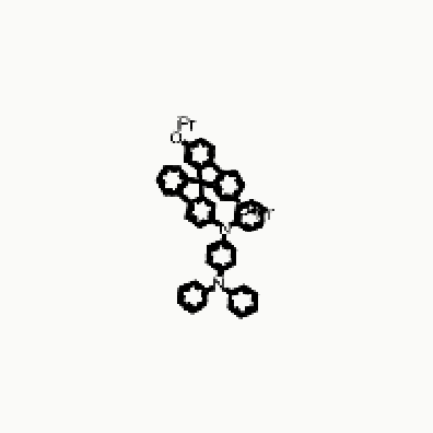 CC(C)Oc1ccc2c(c1)C1(c3ccccc3-c3ccc(N(c4ccccc4)c4ccc(N(c5ccccc5)c5ccccc5)cc4)cc31)c1cc(OC(C)C)ccc1-2